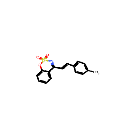 Cc1ccc(C=CC2=NS(=O)(=O)Oc3ccccc32)cc1